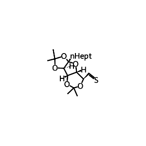 CCCCCCC[C@@]12O[C@H]3[C@H](OC(C)(C)O[C@@H]3C=S)[C@H]1OC(C)(C)O2